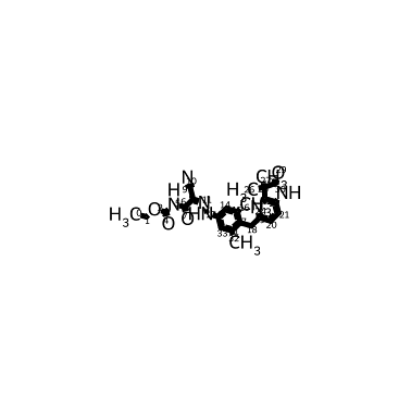 CCOC(=O)NC(=O)C(C#N)=NNc1cc(C)c(Cc2ccc3c(n2)C(C)(C)C(=O)N3)c(C)c1